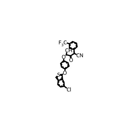 CC(Oc1ccc(Oc2scc3ccc(Cl)cc23)cc1)C(=O)C(C#N)c1cccc(C(F)(F)F)c1